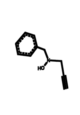 C#CCN(O)Cc1ccccc1